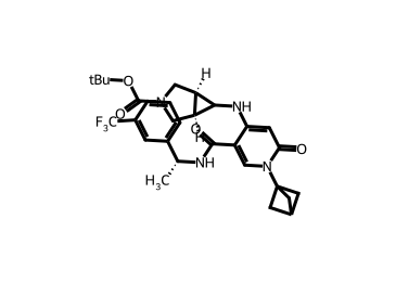 C[C@@H](NC(=O)c1cn(C23CC(C2)C3)c(=O)cc1NC1[C@H]2CN(C(=O)OC(C)(C)C)C[C@@H]12)c1cccc(C(F)(F)F)c1